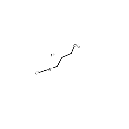 CCC[CH2][Al+][Cl].[H-]